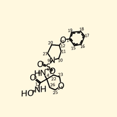 O=C(NO)C1(NS(=O)(=O)N2CCC(Oc3ccccc3)CC2)CCOCC1